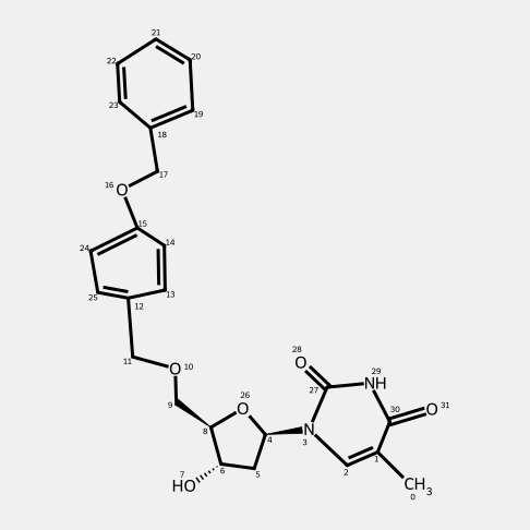 Cc1cn([C@H]2C[C@H](O)[C@@H](COCc3ccc(OCc4ccccc4)cc3)O2)c(=O)[nH]c1=O